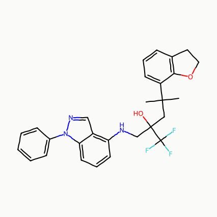 CC(C)(CC(O)(CNc1cccc2c1cnn2-c1ccccc1)C(F)(F)F)c1cccc2c1OCC2